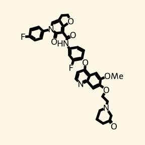 COc1cc2c(Oc3ccc(NC(=O)c4c5c(cn(-c6ccc(F)cc6)c4=O)CCO5)cc3F)ccnc2cc1OCCN1CCCC(=O)C1